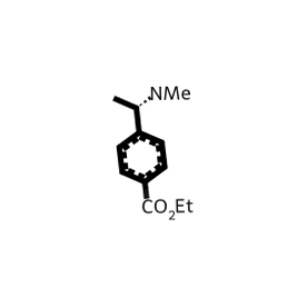 CCOC(=O)c1ccc([C@H](C)NC)cc1